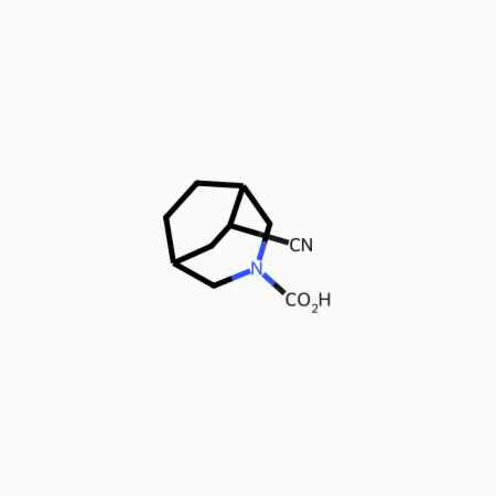 N#CC1CC2CCC1CN(C(=O)O)C2